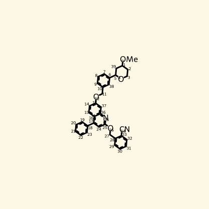 COC1CCOC(c2cccc(COc3ccc4c(-c5ccccc5)cc(OCc5ccccc5C#N)nc4c3)c2)C1